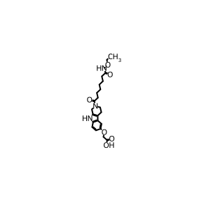 CCONC(=O)CCCCCCC(=O)N1CCc2c([nH]c3ccc(OCC(=O)O)cc23)C1